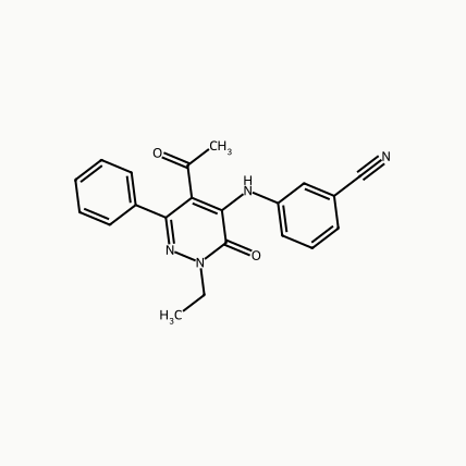 CCn1nc(-c2ccccc2)c(C(C)=O)c(Nc2cccc(C#N)c2)c1=O